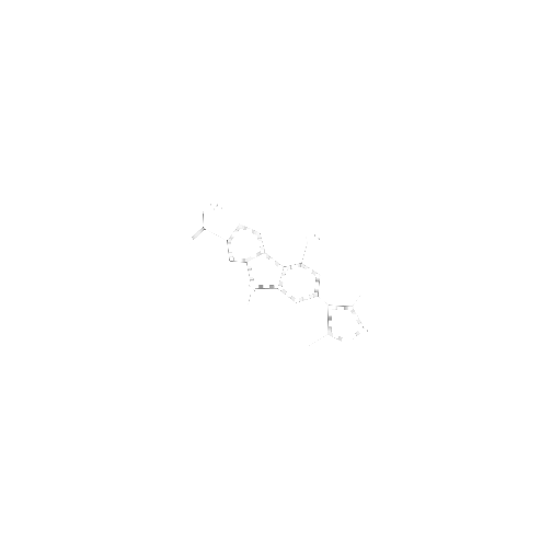 COC(=O)c1ccc2c3c(C#N)cc(-c4c(C)noc4C)cc3n(F)c2c1